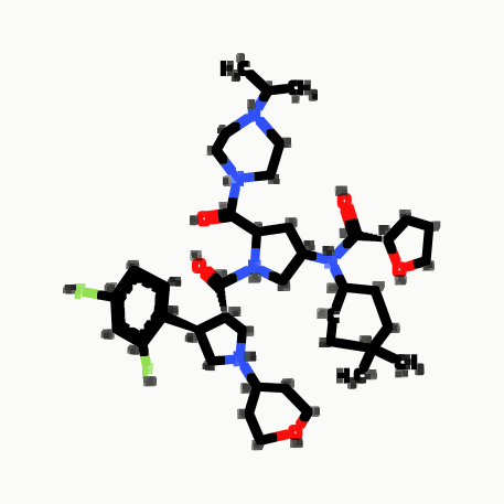 CC(C)N1CCN(C(=O)C2CC(N(C(=O)[C@@H]3CCCO3)C3CCC(C)(C)CC3)CN2C(=O)[C@@H]2CN(C3CCOCC3)C[C@H]2c2ccc(F)cc2F)CC1